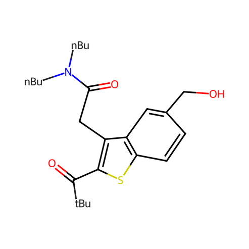 CCCCN(CCCC)C(=O)Cc1c(C(=O)C(C)(C)C)sc2ccc(CO)cc12